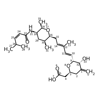 C=C1C[C@@H](CC(=O)O)O[C@H](/C=C/C(C)=C/C[C@@H]2O[C@H](C)[C@H](NC(=O)/C=C\C(C)C)C[C@@H]2C)[C@@H]1O